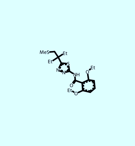 CCOc1cccc(OCC)c1C(=O)Nc1nnc(C(CC)(CC)CSC)s1